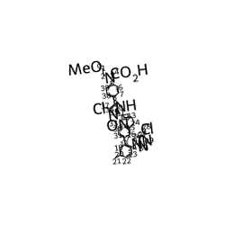 COCCN(C(=O)O)c1ccc(-c2[nH]c([C@@H]3CCc4cc(-c5cc(C)ccc5-n5cc(Cl)nn5)cc(=O)n43)nc2Cl)cc1